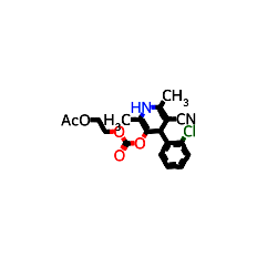 CC(=O)OCCOC(=O)OC1=C(C)NC(C)=C(C#N)C1c1ccccc1Cl